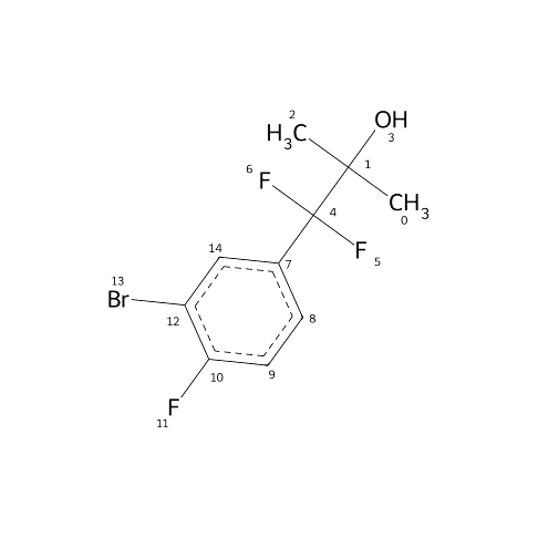 CC(C)(O)C(F)(F)c1ccc(F)c(Br)c1